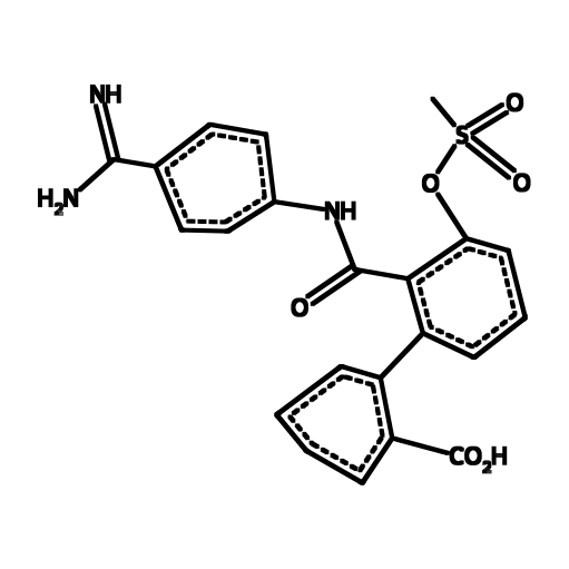 CS(=O)(=O)Oc1cccc(-c2ccccc2C(=O)O)c1C(=O)Nc1ccc(C(=N)N)cc1